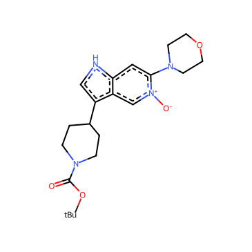 CC(C)(C)OC(=O)N1CCC(c2c[nH]c3cc(N4CCOCC4)[n+]([O-])cc23)CC1